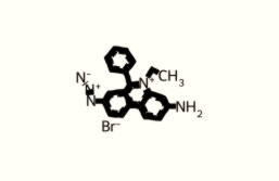 CC[n+]1c(-c2ccccc2)c2cc(N=[N+]=[N-])ccc2c2ccc(N)cc21.[Br-]